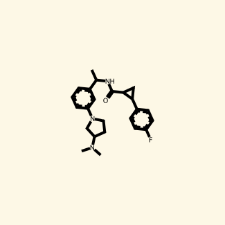 CC(NC(=O)C1CC1c1ccc(F)cc1)c1cccc(N2CCC(N(C)C)C2)c1